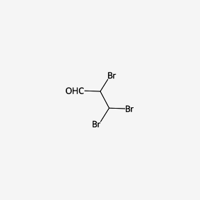 O=CC(Br)C(Br)Br